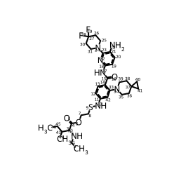 CCN[C@@H](C(=O)OCCSNc1ccc(C(=O)Nc2ccc(N)c(N3CCC(F)(F)CC3)n2)c(N2CCC3(CC2)CC3)c1)C(C)CC